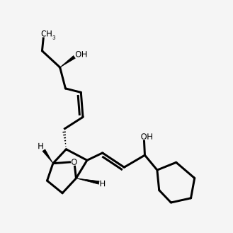 CC[C@@H](O)C/C=C\C[C@@H]1C(/C=C/C(O)C2CCCCC2)[C@@H]2CC[C@H]1O2